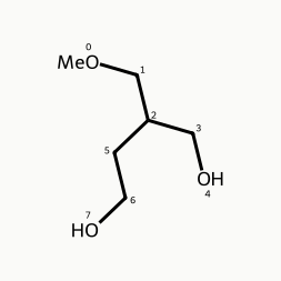 COCC(CO)CCO